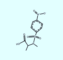 CC(C(=O)O)N(C)S(=O)(=O)c1ccc([N+](=O)[O-])cc1